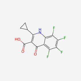 O=C(O)c1c(C2CC2)[nH]c2c(F)c(F)c(F)c(F)c2c1=O